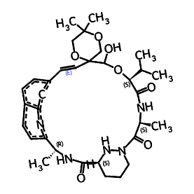 CC(C)[C@@H]1OC(O)C2(/C=C/c3ccc4ccc(nc4c3)[C@@H](C)NC(=O)[C@@H]3CCCN(N3)C(=O)[C@H](C)NC1=O)COC(C)(C)CO2